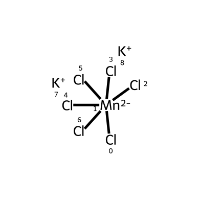 [Cl][Mn-2]([Cl])([Cl])([Cl])([Cl])[Cl].[K+].[K+]